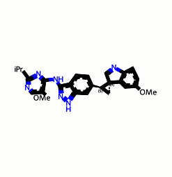 COc1ccc2c(c1)[C@@]1(C=N2)C[C@H]1c1ccc2c(Nc3nc(C(C)C)ncc3OC)n[nH]c2c1